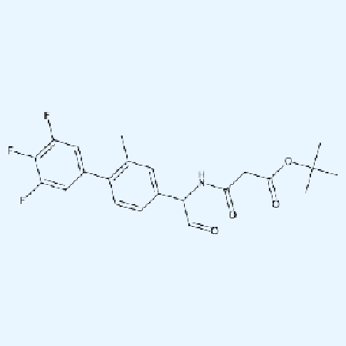 Cc1cc(C(C=O)NC(=O)CC(=O)OC(C)(C)C)ccc1-c1cc(F)c(F)c(F)c1